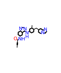 CC#CC(=O)Nc1ccc2ncnc(Nc3ccc(Cc4ccn5ccnc5c4)c(C)c3)c2c1